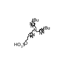 CC(C)(C)n1cc(CN(Cc2cn(CCCOS(=O)(=O)O)nn2)Cc2cn(C(C)(C)C)nn2)nn1